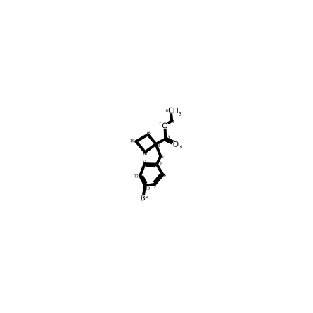 CCOC(=O)C1(Cc2ccc(Br)cc2)CCC1